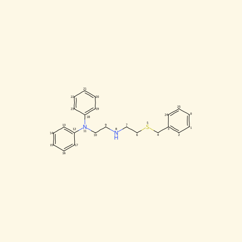 c1ccc(CSCCNCCN(c2ccccc2)c2ccccc2)cc1